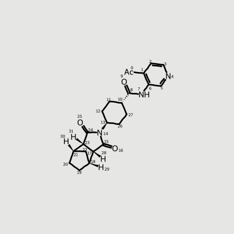 CC(=O)c1ccncc1NC(=O)[C@H]1CC[C@H](N2C(=O)[C@@H]3[C@@H]4CC[C@@H](C4)[C@@H]3C2=O)CC1